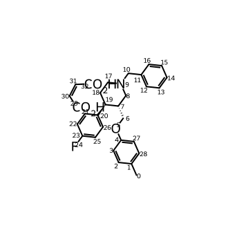 Cc1ccc(OC[C@H]2CN(Cc3ccccc3)CC[C@@H]2c2ccc(F)cc2)cc1.O=C(O)/C=C\C(=O)O